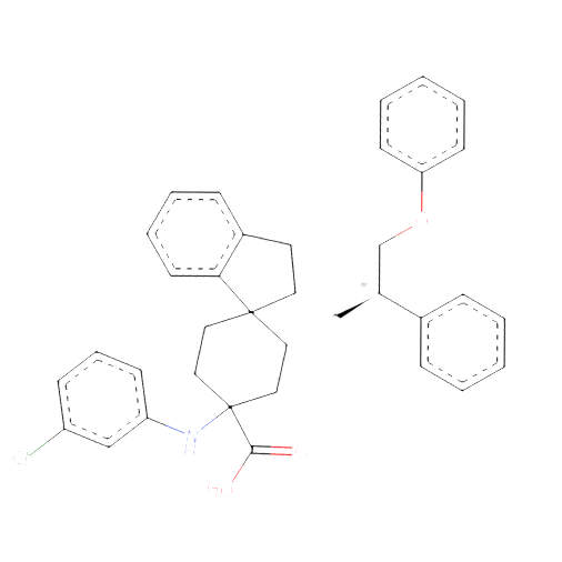 O=C(O)C1(Nc2cccc(Cl)c2)CCC2(CC1)c1ccccc1C[C@@H]2C[C@@H](COc1ccccc1)c1ccccc1